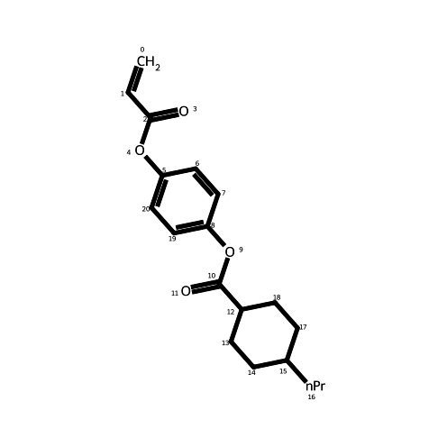 C=CC(=O)Oc1ccc(OC(=O)C2CCC(CCC)CC2)cc1